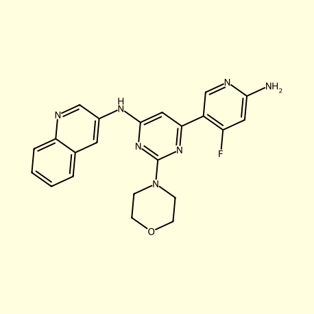 Nc1cc(F)c(-c2cc(Nc3cnc4ccccc4c3)nc(N3CCOCC3)n2)cn1